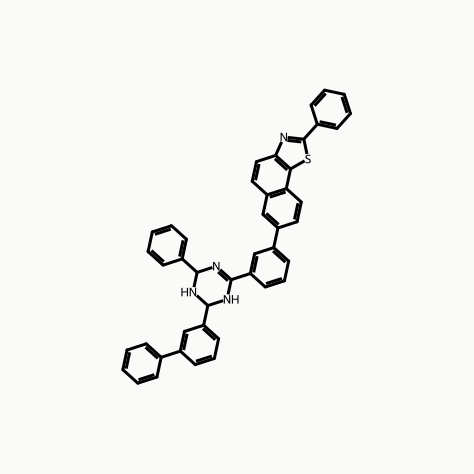 c1ccc(-c2cccc(C3NC(c4cccc(-c5ccc6c(ccc7nc(-c8ccccc8)sc76)c5)c4)=NC(c4ccccc4)N3)c2)cc1